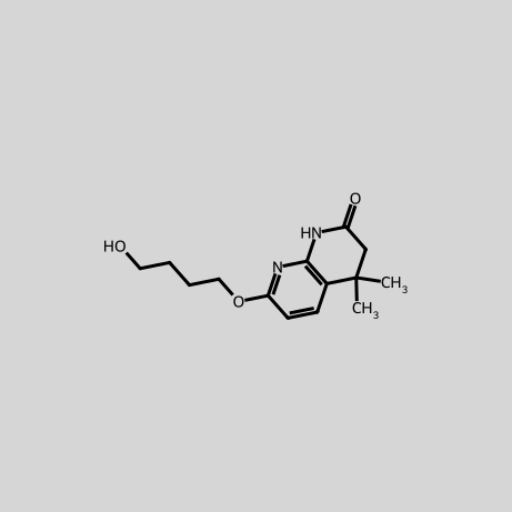 CC1(C)CC(=O)Nc2nc(OCCCCO)ccc21